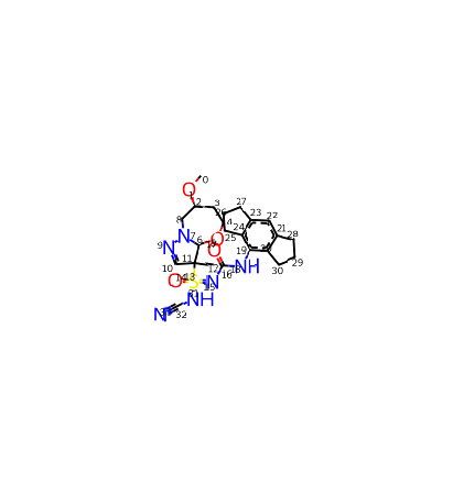 CO[C@H]1CCOC2N(C1)N=CC2(C)S(=O)(=NC(=O)Nc1c2c(cc3c1CCC3)CCC2)NC#N